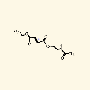 CCOC(=O)/C=C/C(=O)OCCNC(C)=O